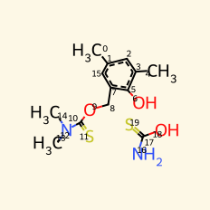 Cc1cc(C)c(O)c(COC(=S)N(C)C)c1.NC(O)=S